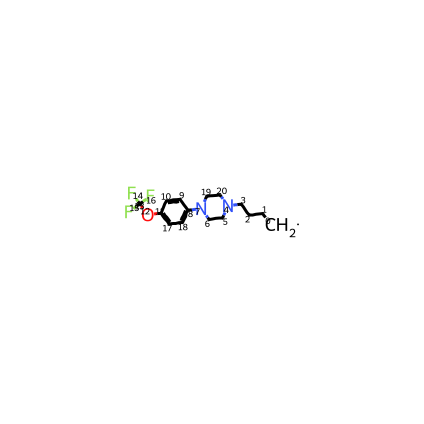 [CH2]CCCN1CCN(c2ccc(OC(F)(F)F)cc2)CC1